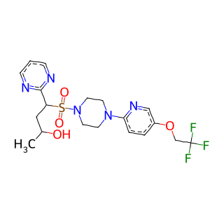 CC(O)CC(c1ncccn1)S(=O)(=O)N1CCN(c2ccc(OCC(F)(F)F)cn2)CC1